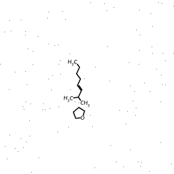 C1CCOC1.CCCCC=CC(C)C